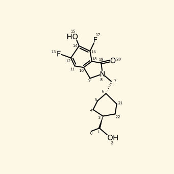 CC(O)[C@H]1CC[C@H](CN2Cc3cc(F)c(O)c(F)c3C2=O)CC1